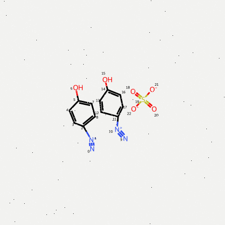 N#[N+]c1ccc(O)cc1.N#[N+]c1ccc(O)cc1.O=S(=O)([O-])[O-]